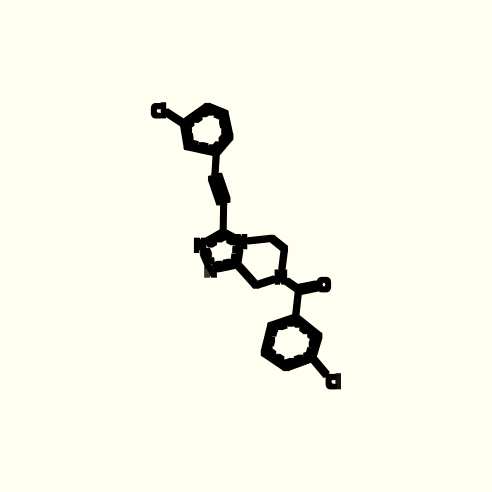 O=C(c1cccc(Cl)c1)N1CCn2c(C#Cc3cccc(Cl)c3)nnc2C1